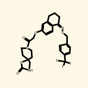 O=C1NCC2(CCN(C(=O)COc3ccc4c(c3)CCC/C4=N/OCc3ccc(C(F)(F)F)cc3)CC2)O1